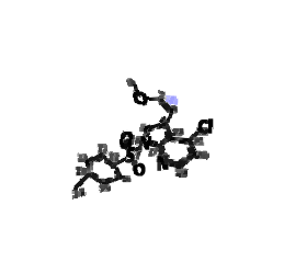 CO/C=C\c1cn(S(=O)(=O)c2ccc(C)cc2)c2nccc(Cl)c12